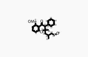 COc1cccc(Cl)c1C(=O)C(c1ccccc1)C(C)(C)CC(C)CP=O